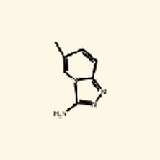 Cc1ccc2nnc(N)n2c1